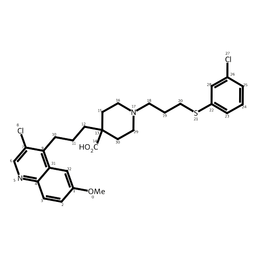 COc1ccc2ncc(Cl)c(CCCC3(C(=O)O)CCN(CCCSc4cccc(Cl)c4)CC3)c2c1